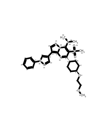 COCCO[C@H]1CC[C@H](c2nc3c(-c4cnn(-c5ccccc5)c4)cnn3c(N(C)C)c2S(C)(=O)=O)CC1